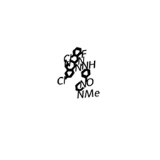 CNC1CCCN(C(=O)c2ccc(Nc3nc4c(c(-c5c(F)cccc5Cl)n3)CN=Cc3cc(Cl)ccc3-4)cc2)C1